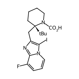 CC(C)(C)[C@@]1(Cc2nc3c(F)cccn3c2I)CCCCN1C(=O)O